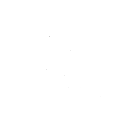 CCN(CCOc1ccccc1)c1cc(OC)ccc1OC